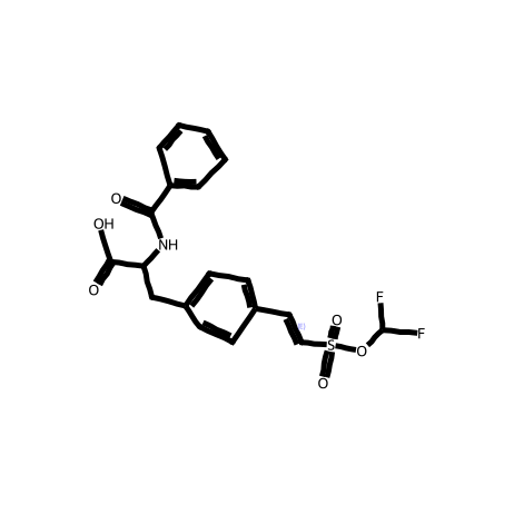 O=C(NC(Cc1ccc(/C=C/S(=O)(=O)OC(F)F)cc1)C(=O)O)c1ccccc1